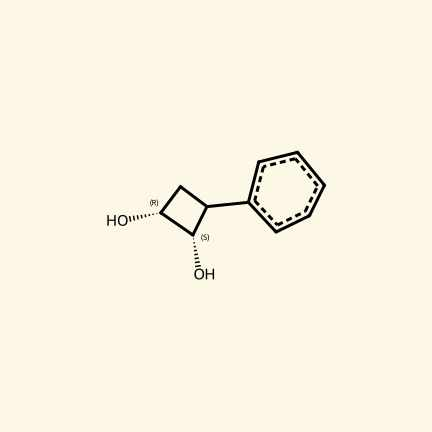 O[C@@H]1CC(c2ccccc2)[C@@H]1O